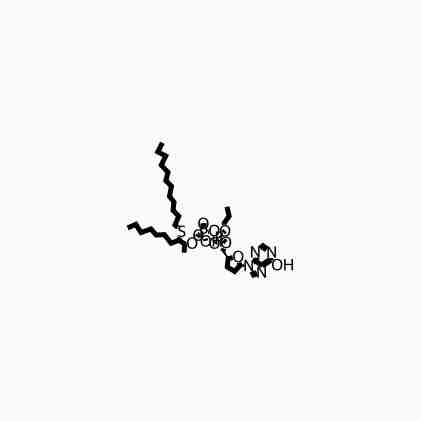 CCCCCCCCCCCCSC(CCCCCCC)C(C)OOP(=O)(O)OP(=O)(OCCC)OC[C@@H]1CC[C@H](n2cnc3c(O)ncnc32)O1